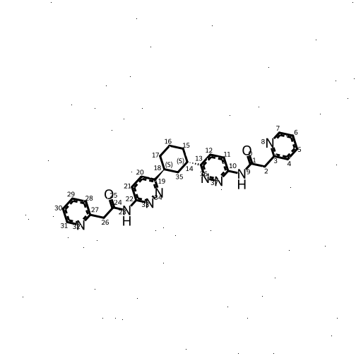 O=C(Cc1ccccn1)Nc1ccc([C@H]2CCC[C@H](c3ccc(NC(=O)Cc4ccccn4)nn3)C2)nn1